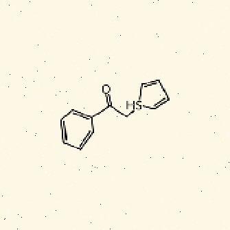 O=C(C[SH]1C=CC=C1)c1ccccc1